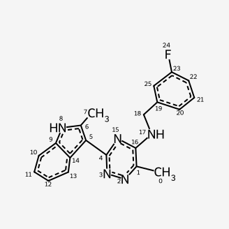 Cc1nnc(-c2c(C)[nH]c3ccccc23)nc1NCc1cccc(F)c1